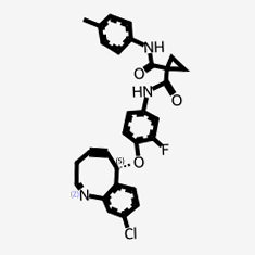 Cc1ccc(NC(=O)C2(C(=O)Nc3ccc(O[C@H]4C#CC/C=N\c5cc(Cl)ccc54)c(F)c3)CC2)cc1